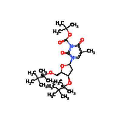 Cc1cn([C@H]2C[C@@H](O[Si](C)(C)C(C)(C)C)[C@@H](CO[Si](C)(C)C(C)(C)C)O2)c(=O)n(C(=O)OC(C)(C)C)c1=O